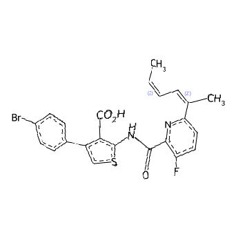 C/C=C\C=C(\C)c1ccc(F)c(C(=O)Nc2scc(-c3ccc(Br)cc3)c2C(=O)O)n1